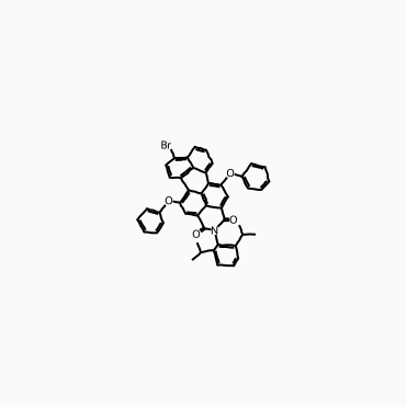 CC(C)c1cccc(C(C)C)c1N1C(=O)c2cc(Oc3ccccc3)c3c4cccc5c(Br)ccc(c6c(Oc7ccccc7)cc(c2c36)C1=O)c54